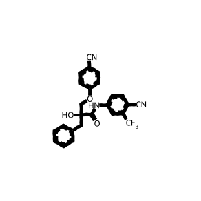 N#Cc1ccc(OC[C@@](O)(Cc2ccccc2)C(=O)Nc2ccc(C#N)c(C(F)(F)F)c2)cc1